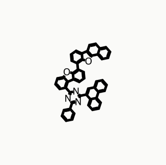 c1ccc(-c2nc(-c3cc4ccccc4c4ccccc34)nc(-c3cccc4oc5c(-c6cccc7c6oc6c8ccccc8ccc76)cccc5c34)n2)cc1